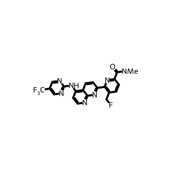 CNC(=O)c1ccc(CF)c(-c2ccc3c(Nc4ncc(C(F)(F)F)cn4)ccnc3n2)n1